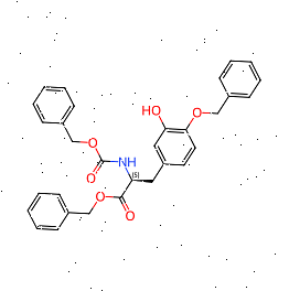 O=C(N[C@@H](Cc1ccc(OCc2ccccc2)c(O)c1)C(=O)OCc1ccccc1)OCc1ccccc1